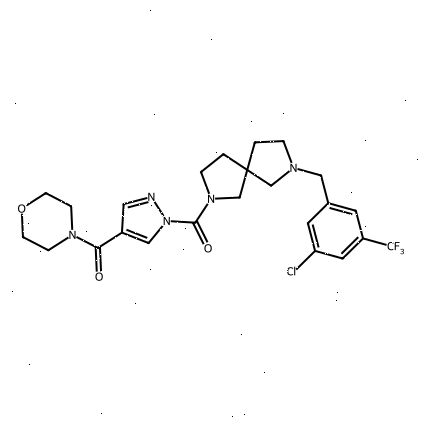 O=C(c1cnn(C(=O)N2CCC3(CCN(Cc4cc(Cl)cc(C(F)(F)F)c4)C3)C2)c1)N1CCOCC1